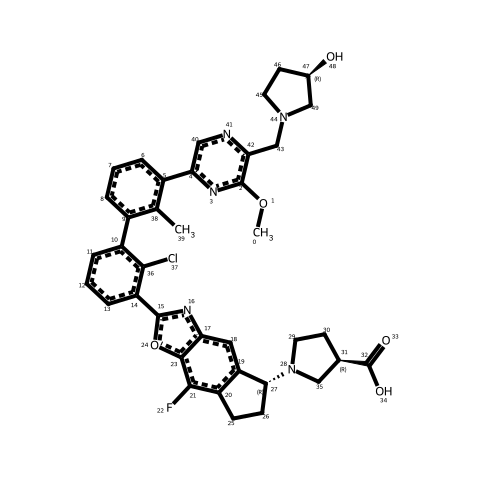 COc1nc(-c2cccc(-c3cccc(-c4nc5cc6c(c(F)c5o4)CC[C@H]6N4CC[C@@H](C(=O)O)C4)c3Cl)c2C)cnc1CN1CC[C@@H](O)C1